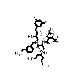 CCCC(CCC)S(=O)(=O)CC(NC(=O)c1sc(C)nc1C(F)(F)F)C(=O)N(Cc1cccc(CC)c1)C[C@@H](O)[C@@H](N)Cc1cc(F)cc(F)c1